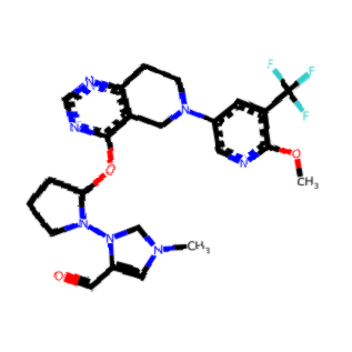 COc1ncc(N2CCc3ncnc(OC4CCCN4N4CN(C)C=C4C=O)c3C2)cc1C(F)(F)F